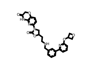 O=C1COc2ccc(N3CC(CCNCc4cccc(-c5cccc(OC6COC6)n5)c4)OC3=O)nc2N1